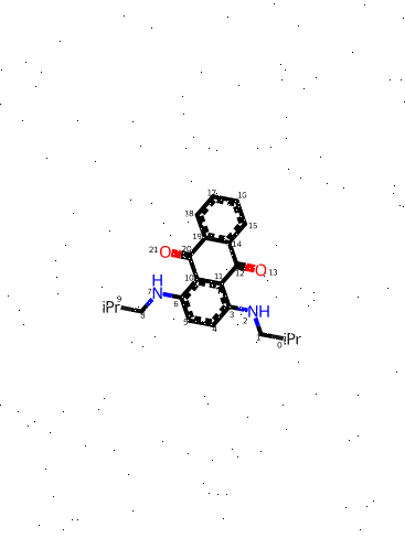 CC(C)CNc1ccc(NCC(C)C)c2c1C(=O)c1ccccc1C2=O